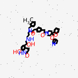 Cc1cccc(CN(CCCNCC(O)c2ccc(O)c3[nH]c(=O)ccc23)C(=O)Cc2ccc(CC(=O)N3CCC(C(=O)OC4CN5CCC4CC5)(c4ccccc4)CC3)cc2)c1